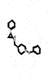 c1ccc(SN2CCC(CN[C@H]3C[C@@H]3c3ccccc3)CC2)cc1